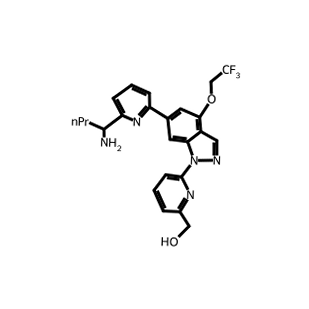 CCCC(N)c1cccc(-c2cc(OCC(F)(F)F)c3cnn(-c4cccc(CO)n4)c3c2)n1